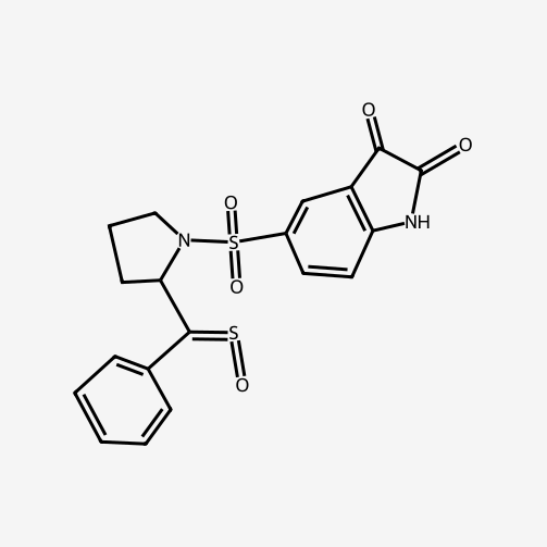 O=S=C(c1ccccc1)C1CCCN1S(=O)(=O)c1ccc2c(c1)C(=O)C(=O)N2